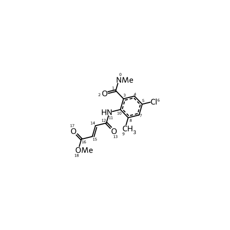 CNC(=O)c1cc(Cl)cc(C)c1NC(=O)/C=C/C(=O)OC